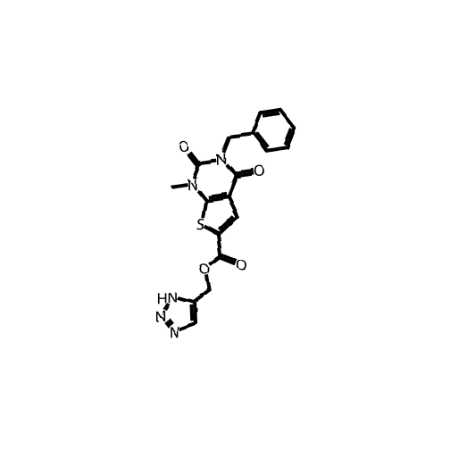 Cn1c(=O)n(Cc2ccccc2)c(=O)c2cc(C(=O)OCc3cnn[nH]3)sc21